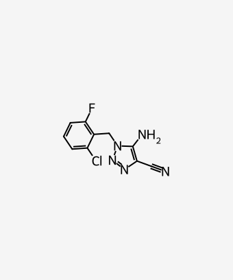 N#Cc1nnn(Cc2c(F)cccc2Cl)c1N